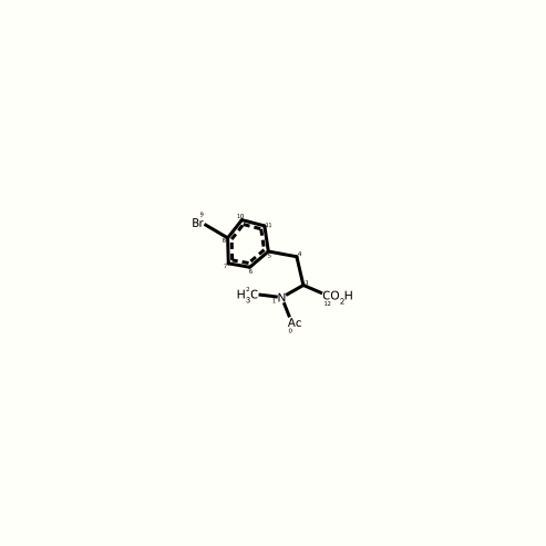 CC(=O)N(C)C(Cc1ccc(Br)cc1)C(=O)O